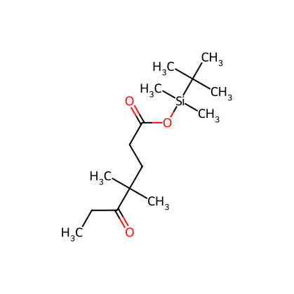 CCC(=O)C(C)(C)CCC(=O)O[Si](C)(C)C(C)(C)C